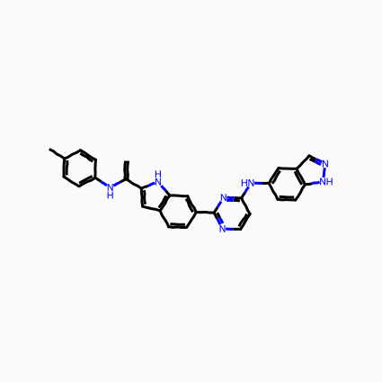 C=C(Nc1ccc(C)cc1)c1cc2ccc(-c3nccc(Nc4ccc5[nH]ncc5c4)n3)cc2[nH]1